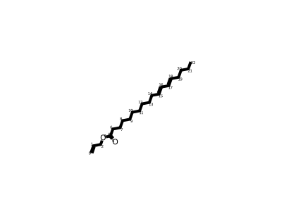 C=CCOC(=O)CCCCCCCCCC=CC=CCCCC